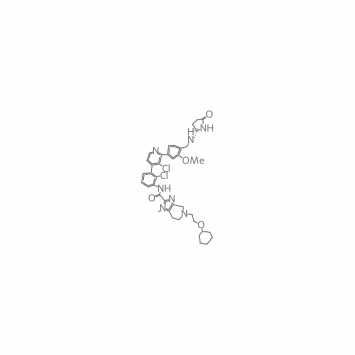 COc1cc(-c2nccc(-c3cccc(NC(=O)c4nc5c(n4C)CCN(CCOC4CCCCC4)C5)c3Cl)c2Cl)ccc1CNC[C@@H]1CCC(=O)N1